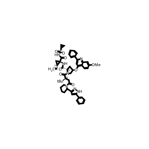 C=C[C@@H]1C[C@]1(NC(=O)[C@@H]1C[C@@H](Oc2cc(-c3ccccc3)nc3cc(OC)ccc23)CN1C(=O)[C@@H](CC(=O)N1CCCCC1c1cc(-c2ccccc2)[nH]n1)C(C)(C)C)C(=O)NS(=O)(=O)C1CC1